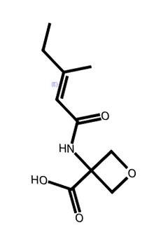 CC/C(C)=C/C(=O)NC1(C(=O)O)COC1